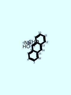 N.O=CO.c1ccc2cc3ccccc3cc2c1